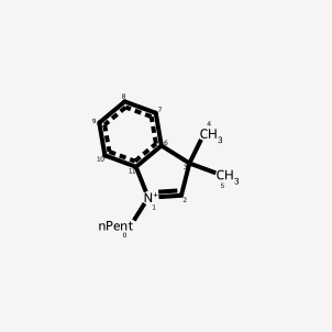 CCCCC[N+]1=CC(C)(C)c2ccccc21